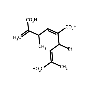 C=C(C(=O)O)C(C)C=C(C(=O)O)C(C=C(C)C(=O)O)CC